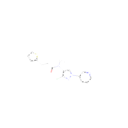 CN(C(=O)CCc1cccs1)c1cn(-c2cccnc2)nc1Cl